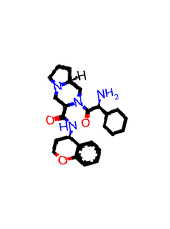 N[C@H](C(=O)N1C[C@H]2CCCN2CC1C(=O)N[C@@H]1CCOc2ccccc21)C1CCCCC1